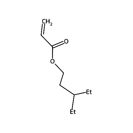 C=CC(=O)OCCC(CC)CC